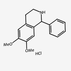 COc1cc2c(cc1OC)C(c1ccccc1)NCC2.Cl